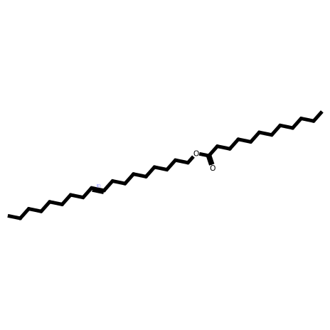 CCCCCCCC/C=C/CCCCCCCCOC(=O)CCCCCCCCCCC